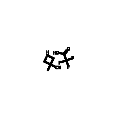 CC1(C#N)CNC1.O=C(O)C(F)(F)F